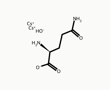 NC(=O)CC[C@H](N)C(=O)[O-].[Cs+].[Cs+].[OH-]